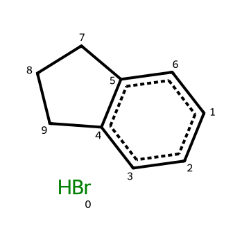 Br.c1ccc2c(c1)CCC2